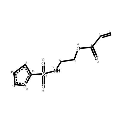 C=CC(=O)OCCNS(=O)(=O)c1cccs1